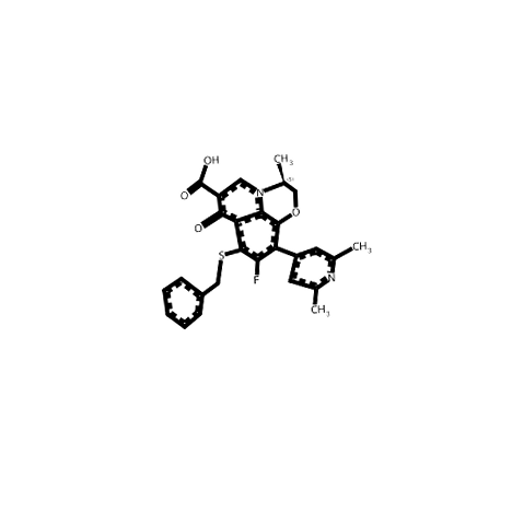 Cc1cc(-c2c(F)c(SCc3ccccc3)c3c(=O)c(C(=O)O)cn4c3c2OC[C@@H]4C)cc(C)n1